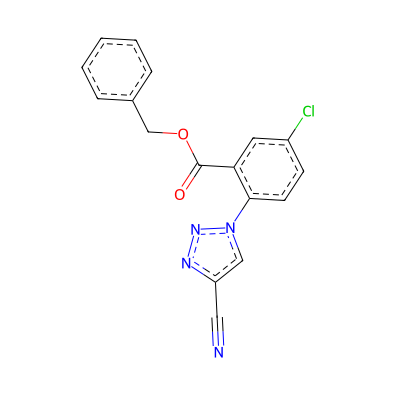 N#Cc1cn(-c2ccc(Cl)cc2C(=O)OCc2ccccc2)nn1